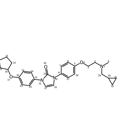 CN(CCOc1ccc(-n2ccn(-c3ccc(OC4CCCC4)cc3)c2=O)cc1)CC1CC1